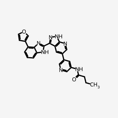 CCCC(=O)Nc1cncc(-c2cnc3[nH]nc(-c4nc5c(-c6ccoc6)cccc5[nH]4)c3c2)c1